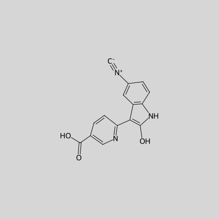 [C-]#[N+]c1ccc2[nH]c(O)c(-c3ccc(C(=O)O)cn3)c2c1